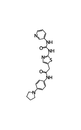 O=C(Cc1cnc(NC(=O)Nc2cccnc2)s1)Nc1ccc(N2CCCC2)cc1